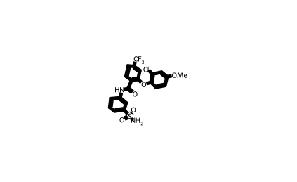 COc1ccc(Oc2cc(C(F)(F)F)ccc2C(=O)Nc2cccc(S(N)(=O)=O)c2)c(Cl)c1